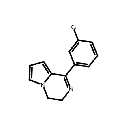 Clc1cccc(C2=NCCn3cccc32)c1